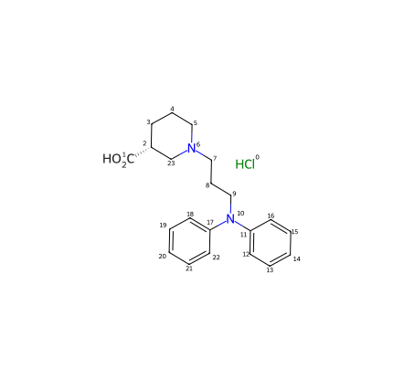 Cl.O=C(O)[C@@H]1CCCN(CCCN(c2ccccc2)c2ccccc2)C1